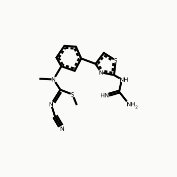 CSC(=NC#N)N(C)c1cccc(-c2csc(NC(=N)N)n2)c1